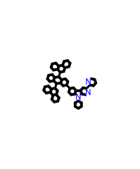 c1ccc(-n2c3ccc(-c4ccc5c(-c6cc7ccccc7c7ccccc67)c6ccccc6c(-c6cc7ccccc7c7ccccc67)c5c4)cc3c3cc(-c4ccccn4)ncc32)cc1